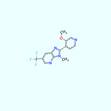 COc1cnccc1-c1nc2cc(C(F)(F)F)cnc2n1C